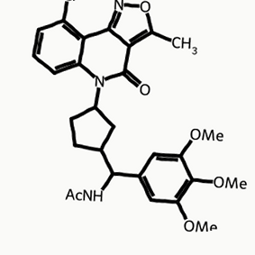 COc1cc(C(NC(C)=O)C2CCC(n3c(=O)c4c(C)onc4c4c(Cl)cccc43)C2)cc(OC)c1OC